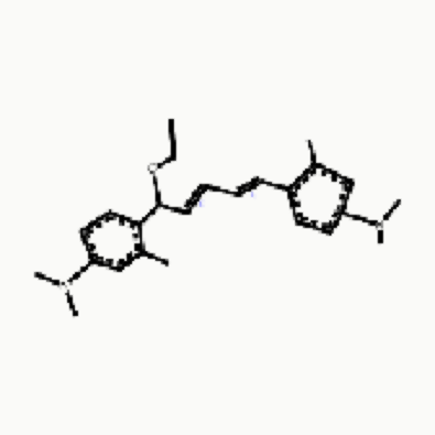 CCOC(/C=C/C=C/c1ccc(N(C)C)cc1C)c1ccc(N(C)C)cc1C